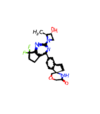 C[C@H]1[C@H](O)CN1c1nc(-c2ccc3c(c2)CC[C@@]32COCC(=O)N2)c2c(n1)C(F)(F)CC2